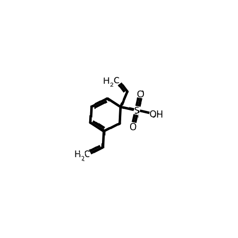 C=CC1=CC=CC(C=C)(S(=O)(=O)O)C1